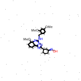 COc1ccc(CNc2nc3c(OC)cccc3c3nc(C4CCCC(=NO)C4)nn23)c(OC)c1